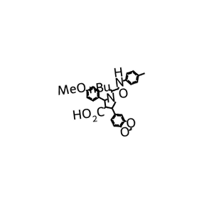 CCCCC(C(=O)Nc1ccc(C)cc1)N1CC(c2ccc3c(c2)OCO3)C(C(=O)O)C1c1ccc(OC)cc1